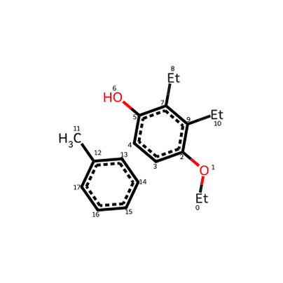 CCOc1ccc(O)c(CC)c1CC.Cc1ccccc1